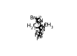 C=Cc1c(C(F)(F)C(F)(F)F)nn(C)c1-n1cc(Br)cn1